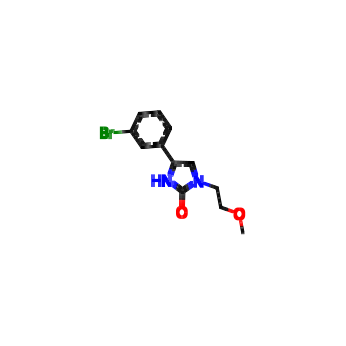 COCCn1cc(-c2cccc(Br)c2)[nH]c1=O